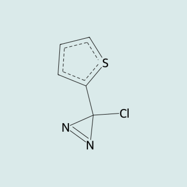 ClC1(c2cccs2)N=N1